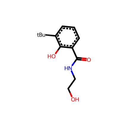 CC(C)(C)c1cccc(C(=O)NCCO)c1O